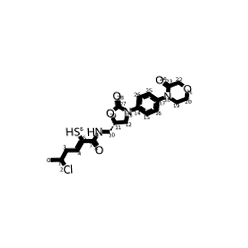 CC(Cl)C/C=C(\S)C(=O)NC[C@H]1CN(c2ccc(N3CCOCC3=O)cc2)C(=O)O1